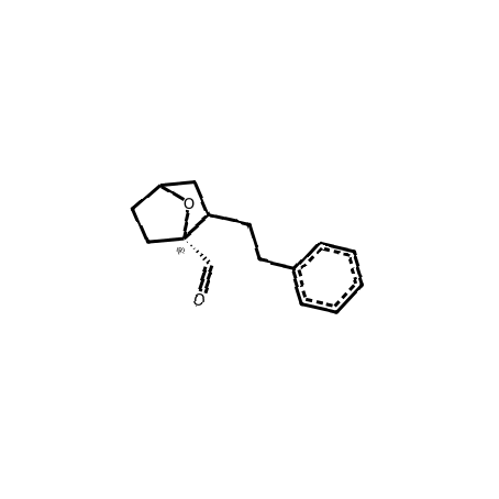 O=C[C@@]12CCC(CC1CCc1ccccc1)O2